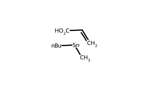 C=CC(=O)O.CCC[CH2][Sn][CH3]